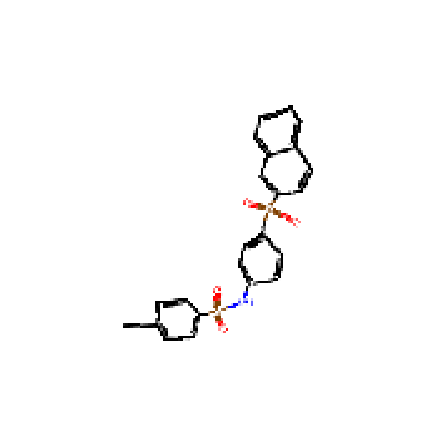 Cc1ccc(S(=O)(=O)Nc2ccc(S(=O)(=O)c3ccc4ccccc4c3)cc2)cc1